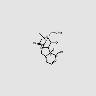 COC[C@]12SS[C@]3(CC4=CC=C[C@H](O)[C@H]4C3C1=O)C(=O)N2C